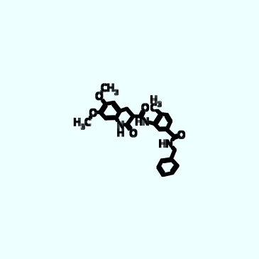 COc1cc2c(cc1OC)NC(=O)C(C(=O)Nc1cc(C(=O)NCc3ccccc3)ccc1C)C2